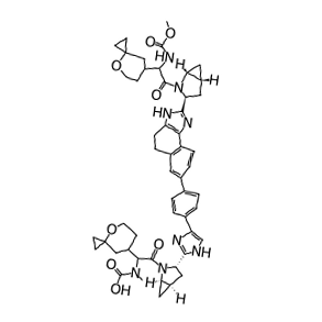 COC(=O)NC(C(=O)N1[C@@H]2C[C@@H]2C[C@H]1c1nc2c([nH]1)CCc1cc(-c3ccc(-c4c[nH]c([C@@H]5C[C@H]6C[C@H]6N5C(=O)C(C5CCOC6(CC6)C5)N(C)C(=O)O)n4)cc3)ccc1-2)C1CCOC2(CC2)C1